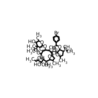 CC[C@@H](O)[C@@](C)(O)[C@@H]1OC(=O)[C@H](C)[C@@H](O[C@H]2CC(C)(OC)[C@@H](O)C(C)O2)[C@H](C)[C@@H](O[C@@H]2OC(C)CC(N(C)C)C2OC(=O)c2ccc(Br)cc2)[C@@]2(C)CC(C)C(O2)[C@@H]1C